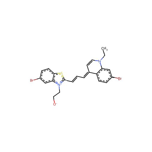 CCN1C=C/C(=C\C=C\c2sc3ccc(Br)cc3[n+]2CC[O-])c2ccc(Br)cc21